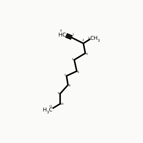 C#CC(C)CCCCCCCC